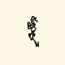 CCOC(=O)C1(F)CCN(c2nccc(C#N)n2)CC1=O